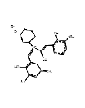 C=C1C=C(C(C)(C)C)C(O)=C(C=[N+](C2CCCCC2)[N+]([Co])=Cc2cccc(C(C)(C)C)c2O)C1.[Br-].[Br-]